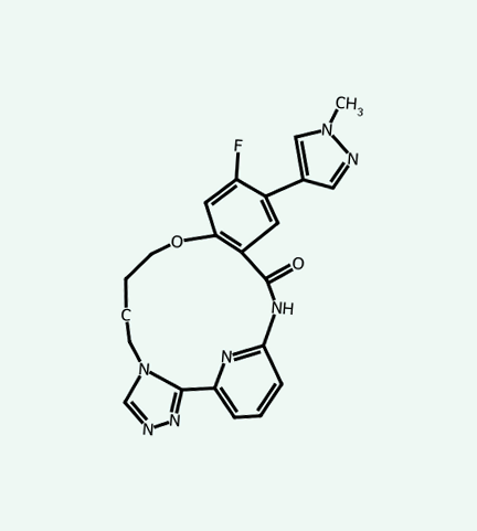 Cn1cc(-c2cc3c(cc2F)OCCCCn2cnnc2-c2cccc(n2)NC3=O)cn1